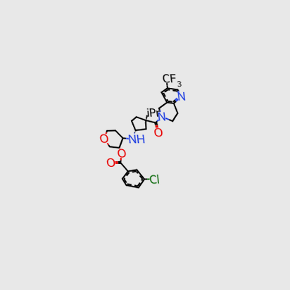 CC(C)[C@]1(C(=O)N2CCc3ncc(C(F)(F)F)cc3C2)CC[C@@H](NC2CCOCC2OC(=O)c2cccc(Cl)c2)C1